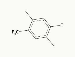 Cc1cc(C(F)(F)F)c(C)cc1F